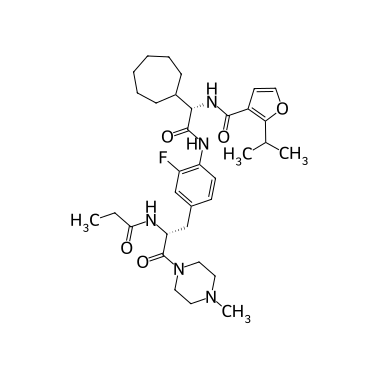 CCC(=O)N[C@H](Cc1ccc(NC(=O)[C@@H](NC(=O)c2ccoc2C(C)C)C2CCCCCC2)c(F)c1)C(=O)N1CCN(C)CC1